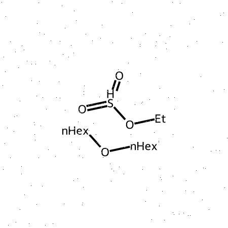 CCCCCCOCCCCCC.CCO[SH](=O)=O